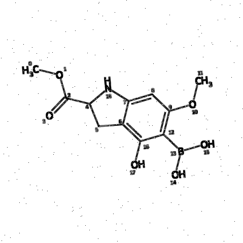 COC(=O)C1Cc2c(cc(OC)c(B(O)O)c2O)N1